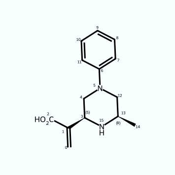 C=C(C(=O)O)[C@H]1CN(c2ccccc2)C[C@@H](C)N1